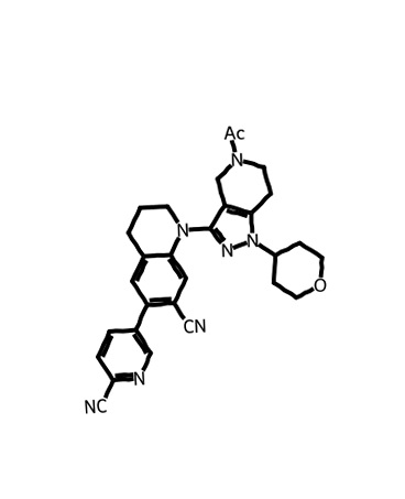 CC(=O)N1CCc2c(c(N3CCCc4cc(-c5ccc(C#N)nc5)c(C#N)cc43)nn2C2CCOCC2)C1